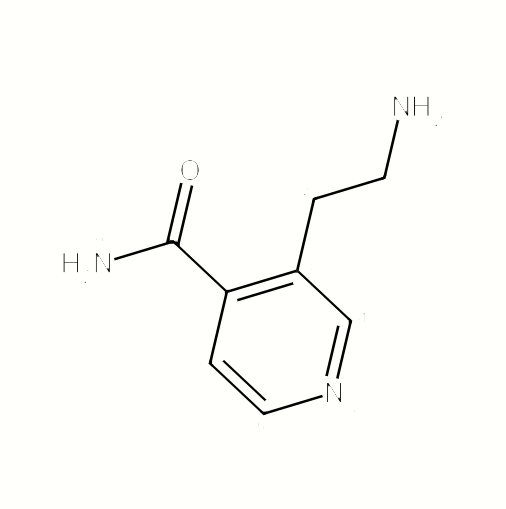 NCCc1cnccc1C(N)=O